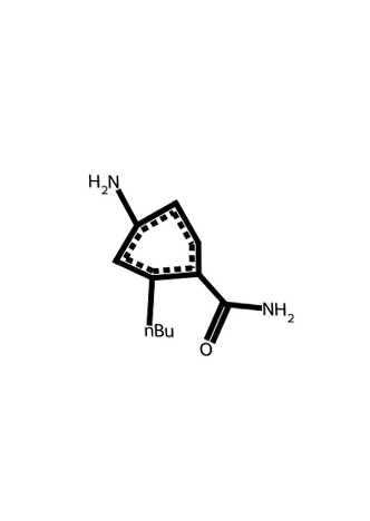 CCCCc1cc(N)ccc1C(N)=O